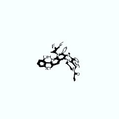 C=CC(=O)N1CCN2c3c(c(=O)n(C4CC4(F)F)c4nc(-c5c(O)cccc5F)c(Cl)cc34)N(C)C(=O)[C@H]2C1